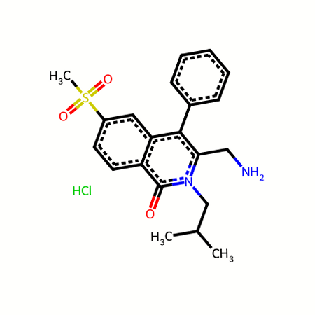 CC(C)Cn1c(CN)c(-c2ccccc2)c2cc(S(C)(=O)=O)ccc2c1=O.Cl